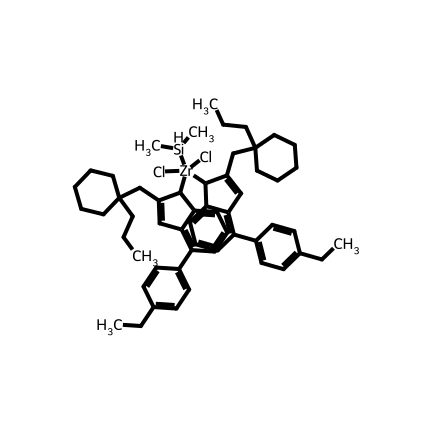 CCCC1(CC2=Cc3c(-c4ccc(CC)cc4)cccc3[CH]2[Zr]([Cl])([Cl])([CH]2C(CC3(CCC)CCCCC3)=Cc3c(-c4ccc(CC)cc4)cccc32)[SiH](C)C)CCCCC1